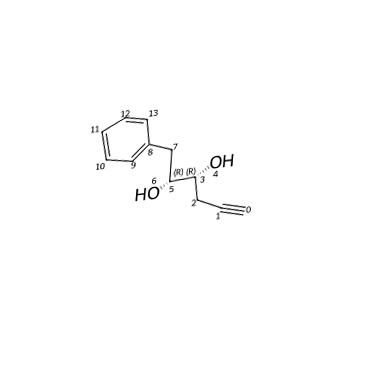 C#CC[C@@H](O)[C@H](O)Cc1ccccc1